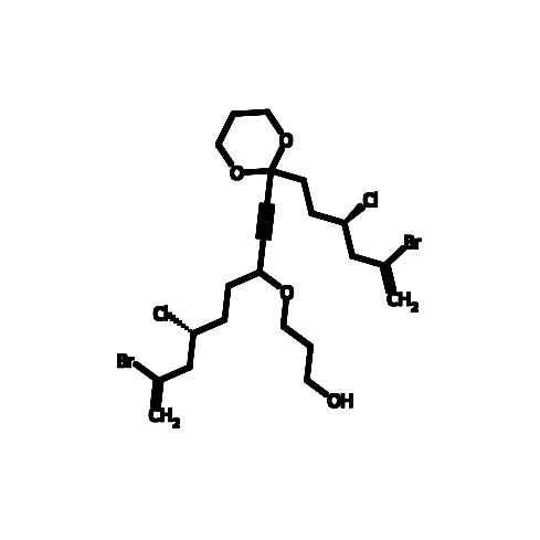 C=C(Br)C[C@H](Cl)CCC(C#CC1(CC[C@@H](Cl)CC(=C)Br)OCCCO1)OCCCO